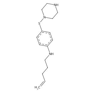 C=CCCCNc1ccc(SN2CCNCC2)cc1